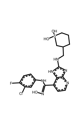 O/N=C(\Nc1ccc(F)c(Cl)c1)c1ccnc2nc(NCC3CCCS(O)(O)C3)[nH]c12